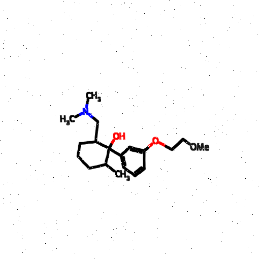 COCCOc1cccc(C2(O)C(C)CCCC2CN(C)C)c1